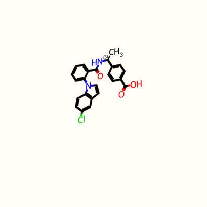 C[C@H](NC(=O)c1ccccc1-n1ccc2cc(Cl)ccc21)c1ccc(C(=O)O)cc1